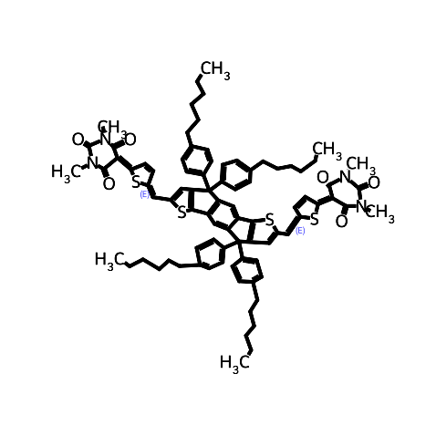 CCCCCCc1ccc(C2(c3ccc(CCCCCC)cc3)c3cc4c(cc3-c3sc(/C=c5\ccc(=C6C(=O)N(C)C(=O)N(C)C6=O)s5)cc32)C(c2ccc(CCCCCC)cc2)(c2ccc(CCCCCC)cc2)c2cc(/C=c3\ccc(=C5C(=O)N(C)C(=O)N(C)C5=O)s3)sc2-4)cc1